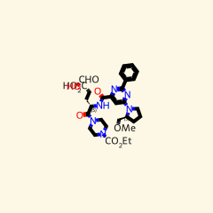 CCOC(=O)N1CCN(C(=O)[C@H](CCC(=O)O)NC(=O)c2cc(N3CCC[C@H]3COC)nc(-c3ccccc3)n2)CC1.O=CO